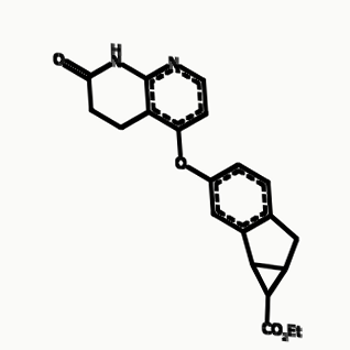 CCOC(=O)C1C2Cc3ccc(Oc4ccnc5c4CCC(=O)N5)cc3C21